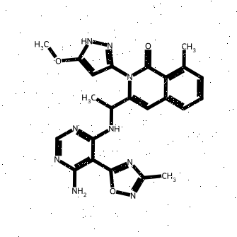 COc1cc(-n2c(C(C)Nc3ncnc(N)c3-c3nc(C)no3)cc3cccc(C)c3c2=O)n[nH]1